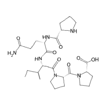 CCC(C)[C@H](NC(=O)[C@H](CCC(N)=O)NC(=O)[C@@H]1CCCN1)C(=O)N1CCC[C@H]1C(=O)N1CCC[C@H]1C(=O)O